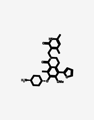 COc1c(O[C@H]2CC[C@H](N)CC2)c(C)c2c(c1-c1ccco1)CCN(Cc1c(C)cc(C)[nH]c1=O)C2=O